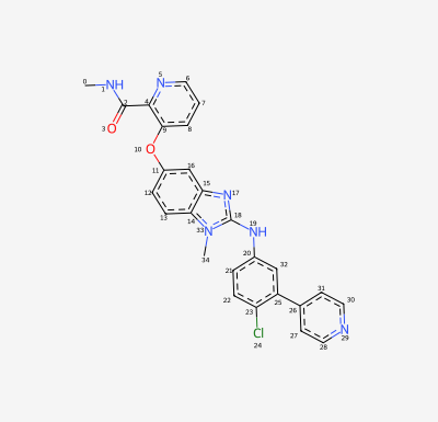 CNC(=O)c1ncccc1Oc1ccc2c(c1)nc(Nc1ccc(Cl)c(-c3ccncc3)c1)n2C